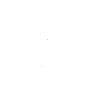 C1=CCC=C(N2c3cccc4c3B(c3ccccc3N4C3=CCCC=C3)c3oc4c(ccc5oc6ccccc6c54)c32)C=C1